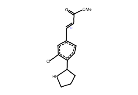 COC(=O)/C=C/c1ccc(C2CCCN2)c(Cl)c1